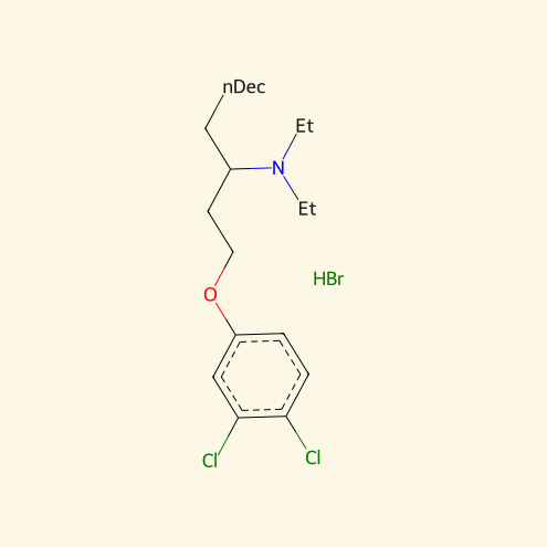 Br.CCCCCCCCCCCC(CCOc1ccc(Cl)c(Cl)c1)N(CC)CC